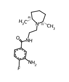 C[C@@H]1CCC[C@H](C)N1CCNC(=O)c1ccc(F)c(N)c1